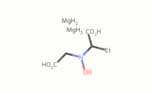 CCC(C(=O)O)N(O)CC(=O)O.[MgH2].[MgH2]